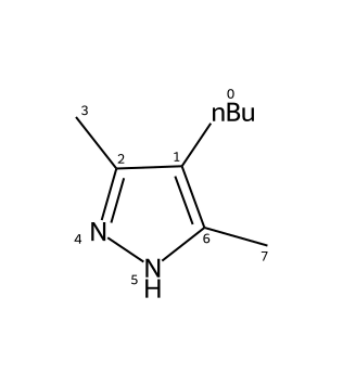 CCCCc1c(C)n[nH]c1C